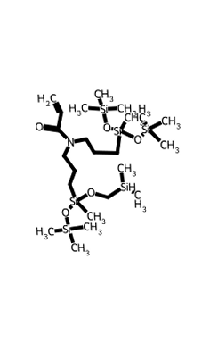 C=CC(=O)N(CCC[Si](C)(OC[SiH](C)C)O[Si](C)(C)C)CCC[Si](C)(O[Si](C)(C)C)O[Si](C)(C)C